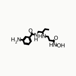 CCC(CNC(=O)c1cccc(N)c1)NCCC(=O)NO